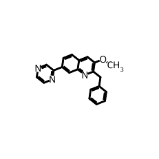 COc1cc2ccc(-c3cnccn3)cc2nc1Cc1ccccc1